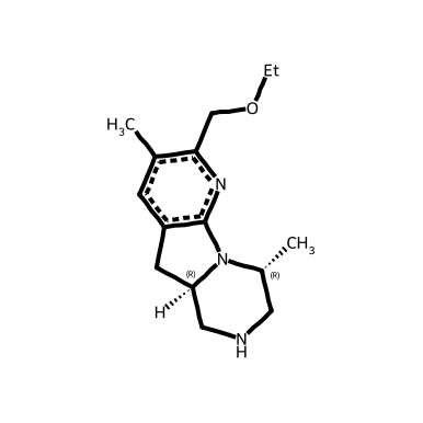 CCOCc1nc2c(cc1C)C[C@@H]1CNC[C@@H](C)N21